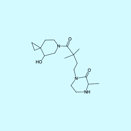 CC1NCCN(CCC(C)(C)C(=O)N2CCC3(CC3)C(O)C2)C1=O